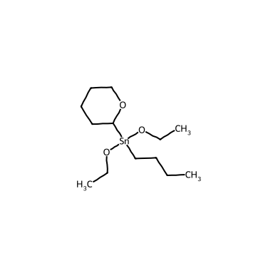 CCC[CH2][Sn]([O]CC)([O]CC)[CH]1CCCCO1